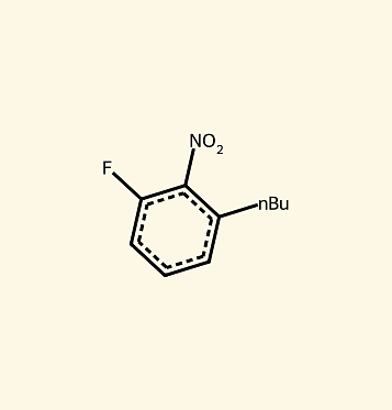 CCCCc1cccc(F)c1[N+](=O)[O-]